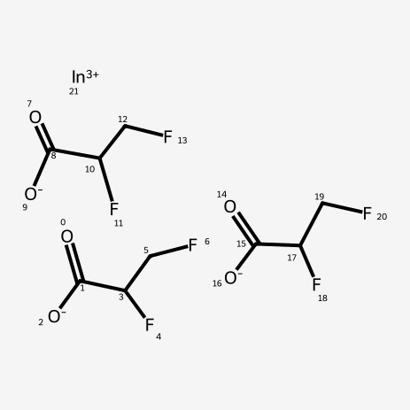 O=C([O-])C(F)CF.O=C([O-])C(F)CF.O=C([O-])C(F)CF.[In+3]